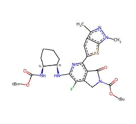 Cc1nn(C)c2sc(-c3nc(N[C@@H]4CCCC[C@@H]4NC(=O)OC(C)(C)C)c(F)c4c3C(=O)N(C(=O)OC(C)(C)C)C4)cc12